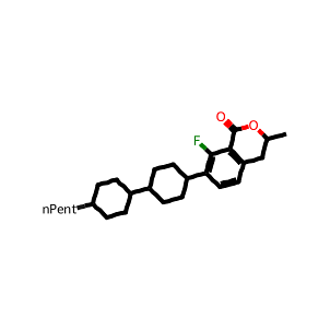 CCCCCC1CCC(C2CCC(c3ccc4c(c3F)C(=O)OC(C)C4)CC2)CC1